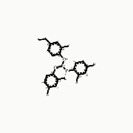 CCc1ccc(OP(Oc2ccc(C)cc2C)Oc2ccc(C)cc2C)c(C)c1